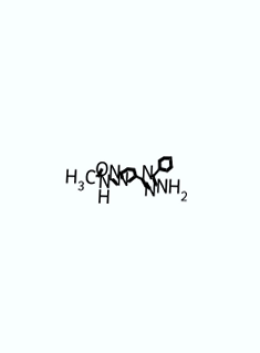 CC(=O)Nc1cn2cc(-c3cnc(N)c(-c4ccccc4)n3)ccc2n1